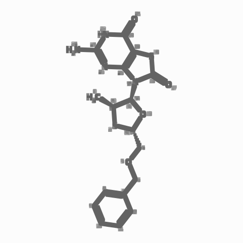 C[C@@H]1S[C@@H](COCc2ccccc2)O[C@@H]1n1c(=O)sc2c(=O)[nH]c(N)nc21